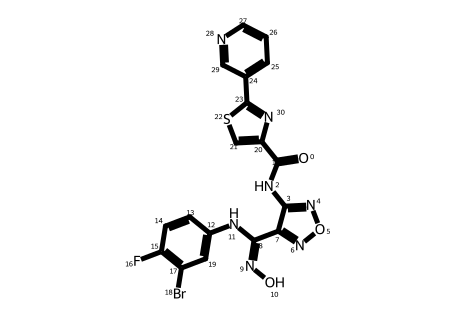 O=C(Nc1nonc1C(=NO)Nc1ccc(F)c(Br)c1)c1csc(-c2cccnc2)n1